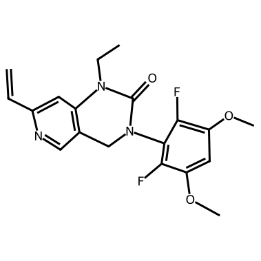 C=Cc1cc2c(cn1)CN(c1c(F)c(OC)cc(OC)c1F)C(=O)N2CC